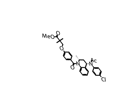 COC(=O)C(C)(C)COc1ccc(C(=O)N2c3ccccc3[C@@H](N(C(C)=O)c3ccc(Cl)cc3)C[C@H]2C)cc1